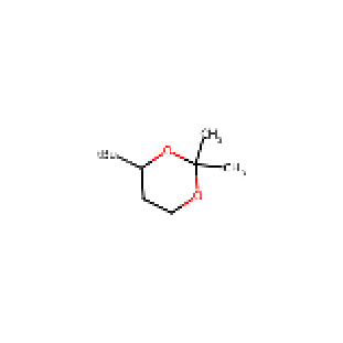 CC1(C)OCCC(C(C)(C)C)O1